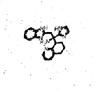 NC(Cc1nc2ccccc2[nH]1)(c1ncc[nH]1)C1CCCc2cccnc21